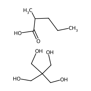 CCCC(C)C(=O)O.OCC(CO)(CO)CO